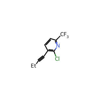 CCC#Cc1ccc(C(F)(F)F)nc1Cl